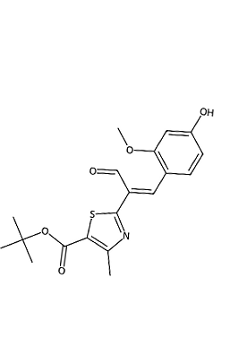 COc1cc(O)ccc1/C=C(\C=O)c1nc(C)c(C(=O)OC(C)(C)C)s1